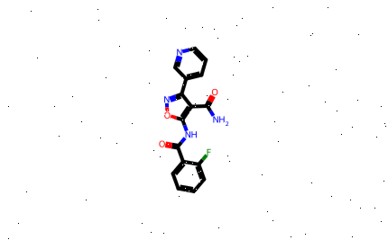 NC(=O)c1c(-c2cccnc2)noc1NC(=O)c1ccccc1F